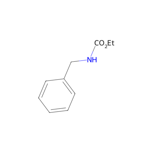 C[CH]OC(=O)NCc1ccccc1